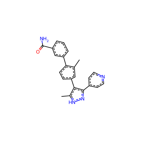 Cc1cc(-c2c(-c3ccncc3)n[nH]c2C)ccc1-c1cccc(C(N)=O)c1